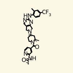 Cc1cc(C(F)(F)F)ccc1Nc1ncc2c(n1)CN([C@@H]1CCN(C(=O)c3ccnc(N[S+](C)[O-])c3)[C@H](C)C1)C2